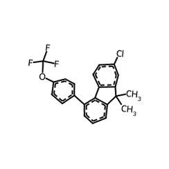 CC1(C)c2cc(Cl)ccc2-c2c(-c3ccc(OC(F)(F)F)cc3)cccc21